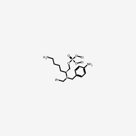 CCOP(=O)(OCC)OC[C@H](CCCCN)N(Cc1ccc(N)cc1)CC(C)C